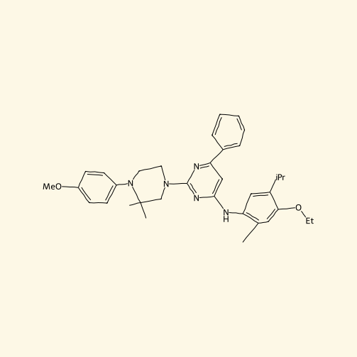 CCOc1cc(C)c(Nc2cc(-c3ccccc3)nc(N3CCN(c4ccc(OC)cc4)C(C)(C)C3)n2)cc1C(C)C